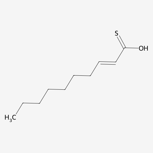 CCCCCCCC=CC(O)=S